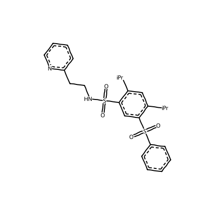 CC(C)c1cc(C(C)C)c(S(=O)(=O)c2ccccc2)cc1S(=O)(=O)NCCc1ccccn1